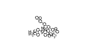 CC1(C)c2ccccc2-c2c(-c3sc(-c4cccc5c4-c4ccccc4C5(C)C)c4nc5c6cc(-c7ccc8c(c7)oc7ccccc78)ccc6c6ccc(-c7ccc8c(c7)oc7ccccc78)cc6c5nc34)cccc21